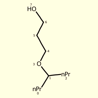 [CH2]CCC(CCC)OCCCO